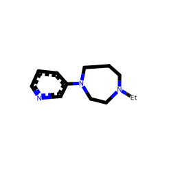 CCN1CCCN(c2cccnc2)CC1